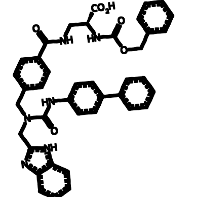 O=C(N[C@@H](CNC(=O)c1ccc(CN(Cc2nc3ccccc3[nH]2)C(=O)Nc2ccc(-c3ccccc3)cc2)cc1)C(=O)O)OCc1ccccc1